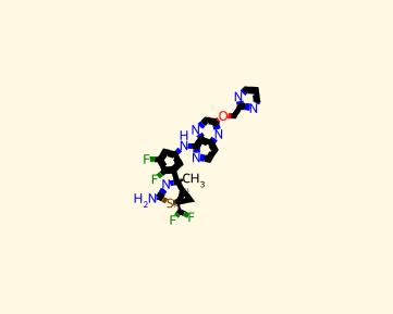 C[C@]1(c2cc(Nc3nccc4nc(OCc5ncccn5)cnc34)cc(F)c2F)N=C(N)S[C@@]2(C(F)F)C[C@@H]12